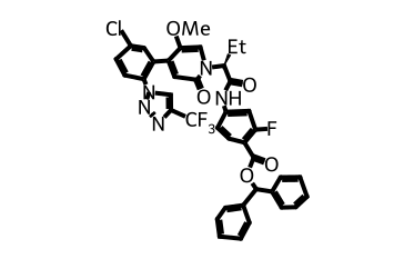 CC[C@@H](C(=O)Nc1ccc(C(=O)OC(c2ccccc2)c2ccccc2)c(F)c1)n1cc(OC)c(-c2cc(Cl)ccc2-n2cc(C(F)(F)F)nn2)cc1=O